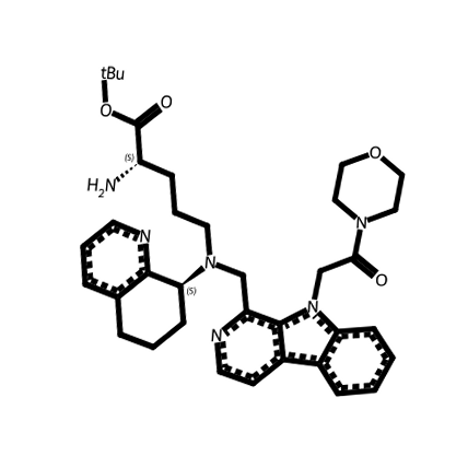 CC(C)(C)OC(=O)[C@@H](N)CCCN(Cc1nccc2c3ccccc3n(CC(=O)N3CCOCC3)c12)[C@H]1CCCc2cccnc21